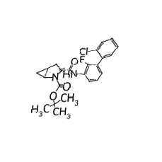 CC(C)(C)OC(=O)N1C2CC2C[C@@H]1C(=O)Nc1cccc(-c2ccccc2Cl)c1F